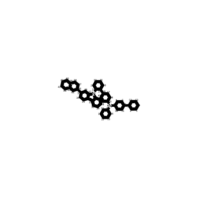 c1ccc(-c2ccc(N(c3ccccc3)c3ccc(-c4ccccc4-n4c5ccccc5c5ccc(-c6ccc7ccccc7c6)cc54)cc3)cc2)cc1